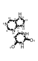 O=c1cc[nH]c(=O)[nH]1.c1ncc2[nH]cnc2n1